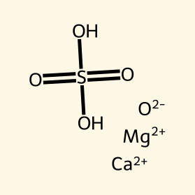 O=S(=O)(O)O.[Ca+2].[Mg+2].[O-2]